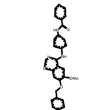 COc1cc2c(Nc3ccc(NC(=O)c4ccccc4)cc3)ncnc2cc1OCc1ccccc1